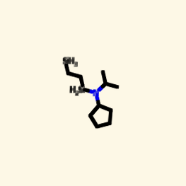 CC(C)N([SiH2]CC[SiH3])C1CCCC1